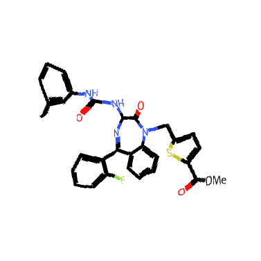 COC(=O)c1ccc(CN2C(=O)C(NC(=O)Nc3cccc(C)c3)N=C(c3ccccc3F)c3ccccc32)s1